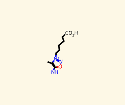 Cc1c([NH-])on[n+]1CCCCCC(=O)O